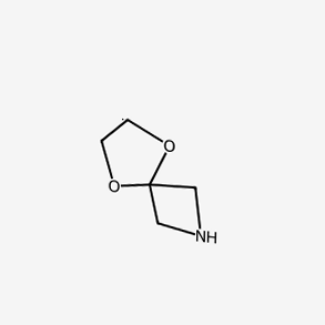 [CH]1COC2(CNC2)O1